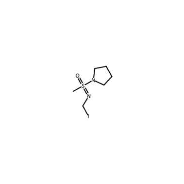 CS(=O)(=NCI)N1CCCC1